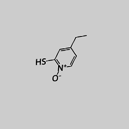 CCc1cc[n+]([O-])c(S)c1